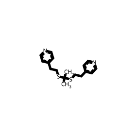 CC(C)(SCCc1ccncc1)SCCc1ccncc1